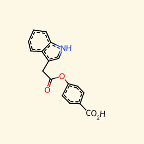 O=C(Cc1c[nH]c2ccccc12)Oc1ccc(C(=O)O)cc1